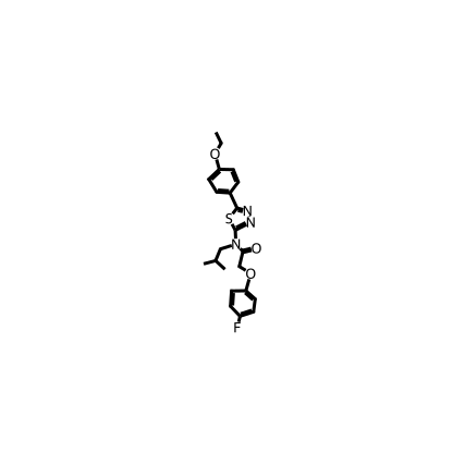 CCOc1ccc(-c2nnc(N(CC(C)C)C(=O)COc3ccc(F)cc3)s2)cc1